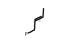 C/C=[C]/CF